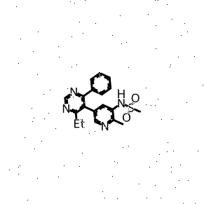 CCc1ncnc(-c2ccccc2)c1-c1cnc(C)c(NS(C)(=O)=O)c1